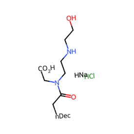 CCCCCCCCCCCC(=O)N(CCNCCO)CC(=O)O.Cl.[NaH]